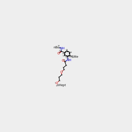 CCCCCCCOCCCOCCCC(=O)Nc1cc(C(=O)NCCCC)ccc1SC